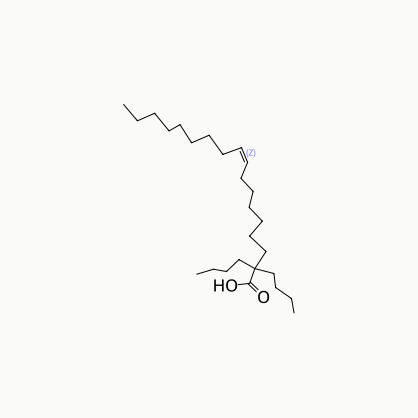 CCCCCCCC/C=C\CCCCCCC(CCCC)(CCCC)C(=O)O